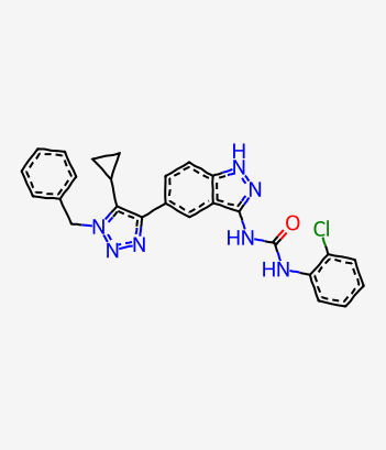 O=C(Nc1ccccc1Cl)Nc1n[nH]c2ccc(-c3nnn(Cc4ccccc4)c3C3CC3)cc12